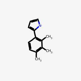 Cc1ccc(C2=CC=C[N]2)c(C)c1C